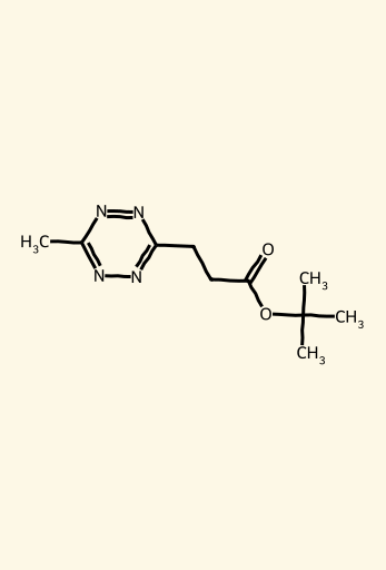 Cc1nnc(CCC(=O)OC(C)(C)C)nn1